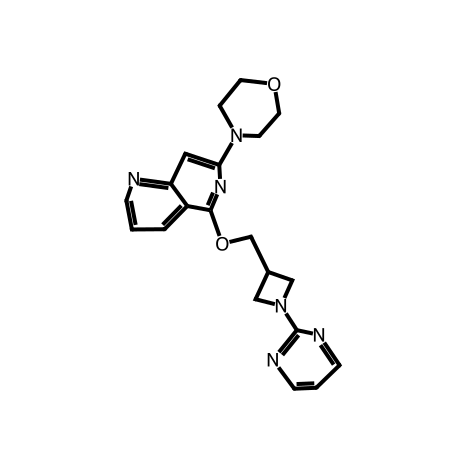 c1cnc(N2CC(COc3nc(N4CCOCC4)cc4ncccc34)C2)nc1